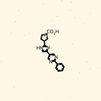 O=C(O)N1CCC(c2nc(-c3cnc(-c4ccccc4)nc3)c[nH]2)C1